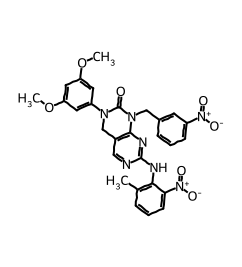 COc1cc(OC)cc(N2Cc3cnc(Nc4c(C)cccc4[N+](=O)[O-])nc3N(Cc3cccc([N+](=O)[O-])c3)C2=O)c1